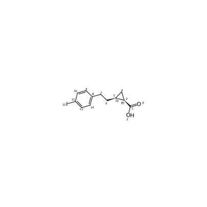 O=C(O)[C@@H]1C[C@@H]1CCc1ccc(I)cc1